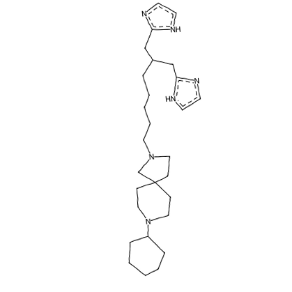 c1c[nH]c(CC(CCCCCN2CCC3(CCN(C4CCCCC4)CC3)C2)Cc2ncc[nH]2)n1